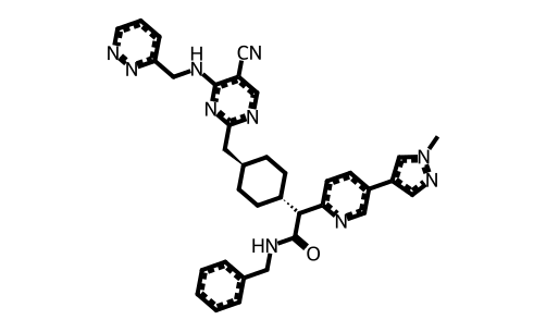 Cn1cc(-c2ccc(C(C(=O)NCc3ccccc3)[C@H]3CC[C@H](Cc4ncc(C#N)c(NCc5cccnn5)n4)CC3)nc2)cn1